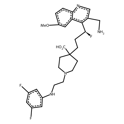 COc1ccc2ncc(CN)c([C@@H](F)CCC3(C(=O)O)CCN(CCNc4cc(F)cc(F)c4)CC3)c2c1